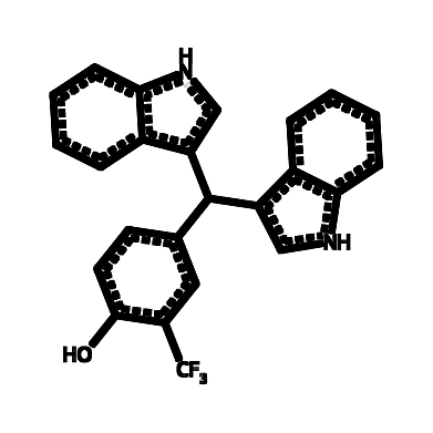 Oc1ccc(C(c2c[nH]c3ccccc23)c2c[nH]c3ccccc23)cc1C(F)(F)F